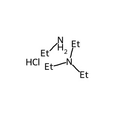 CCN.CCN(CC)CC.Cl